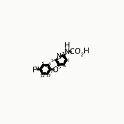 O=C(O)Nc1ccc(Oc2ccc(F)cc2)cn1